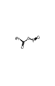 CC(C)C(=O)OP=O